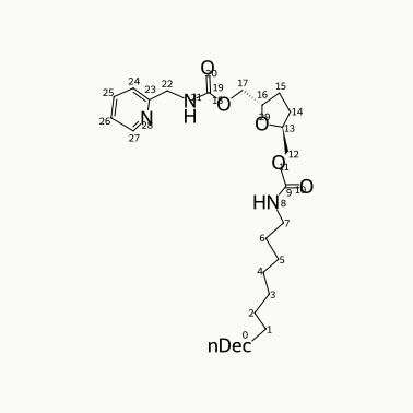 CCCCCCCCCCCCCCCCCNC(=O)OC[C@@H]1CC[C@@H](COC(=O)NCc2ccccn2)O1